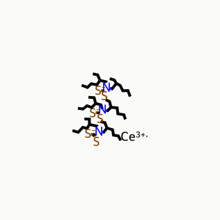 CCCCC(CC)CN(CC(CC)CCCC)C(=S)[S-].CCCCC(CC)CN(CC(CC)CCCC)C(=S)[S-].CCCCC(CC)CN(CC(CC)CCCC)C(=S)[S-].[Ce+3]